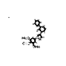 COc1cc(-n2cc(-c3cccc(-c4ccccc4)c3C)cn2)cc(OC)c1C=O